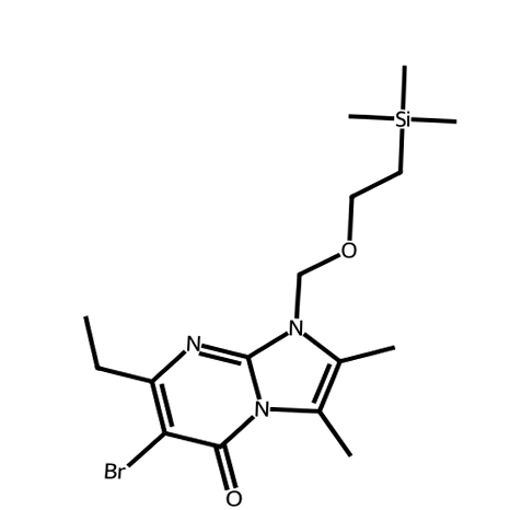 CCc1nc2n(COCC[Si](C)(C)C)c(C)c(C)n2c(=O)c1Br